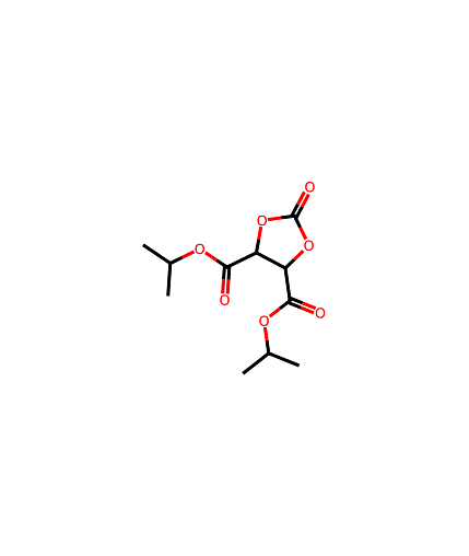 CC(C)OC(=O)C1OC(=O)OC1C(=O)OC(C)C